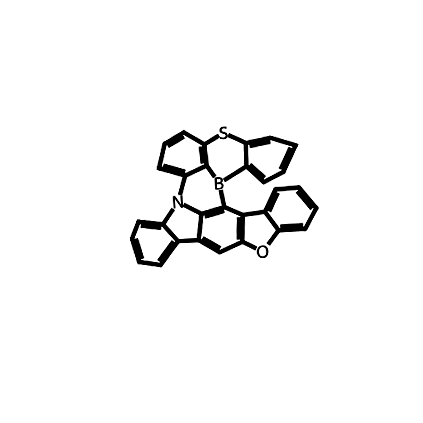 c1ccc2c(c1)Sc1cccc3c1B2c1c2c(cc4c5ccccc5n-3c14)oc1ccccc12